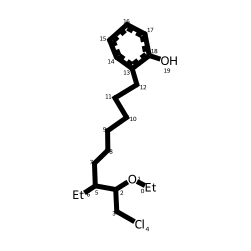 CCOC(CCl)C(CC)CCCCCCc1ccccc1O